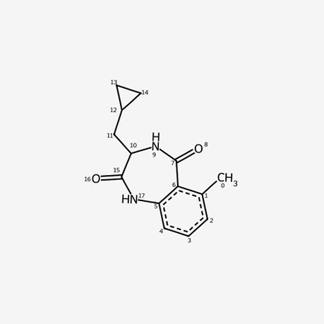 Cc1cccc2c1C(=O)NC(CC1CC1)C(=O)N2